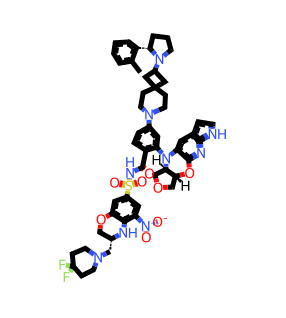 Cc1ccccc1[C@@H]1CCCN1C1CC2(CCN(c3ccc(C(=O)NS(=O)(=O)c4cc5c(c([N+](=O)[O-])c4)N[C@H](CN4CCC(F)(F)CC4)CO5)c(N4c5cc6cc[nH]c6nc5O[C@@H]5COC[C@H]54)c3)CC2)C1